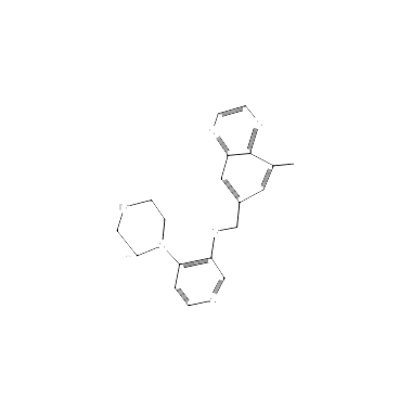 C[C@@H]1CNCCN1c1ccncc1NCc1cc(F)c2nccnc2c1